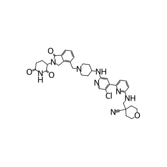 N#CC1(CNc2cccc(-c3cc(NC4CCN(Cc5cccc6c5CN(C5CCC(=O)NC5=O)C6=O)CC4)ncc3Cl)n2)CCOCC1